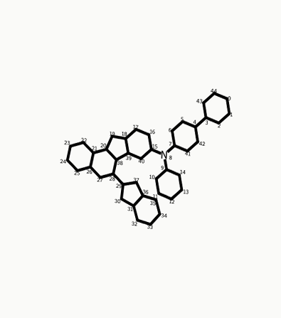 C1CCC(C2CCC(N(C3CCCCC3)C3CCC4CC5C6CCCCC6CC(C6CC7CCCCC7C6)C5C4C3)CC2)CC1